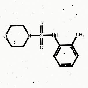 Cc1ccccc1NS(=O)(=O)N1CCOCC1